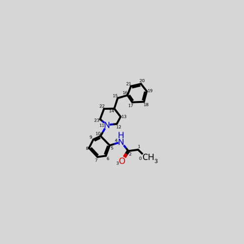 CCC(=O)Nc1ccccc1N1CCC(Cc2ccccc2)CC1